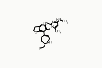 CNc1cc(C)nc(Nc2cc3c(c(C4=CCN[C@@H](CF)CC4)c2F)OCC3)n1